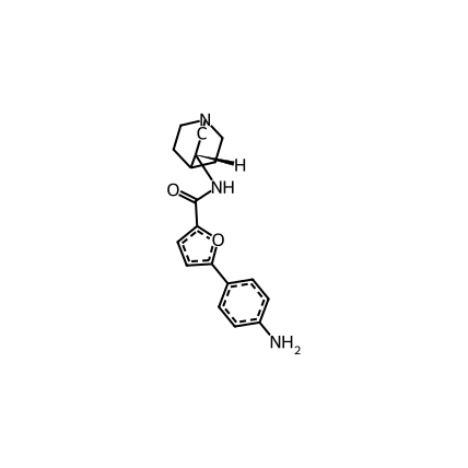 Nc1ccc(-c2ccc(C(=O)N[C@H]3CN4CCC3CC4)o2)cc1